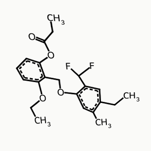 CCOc1cccc(OC(=O)CC)c1COc1cc(C)c(CC)cc1C(F)F